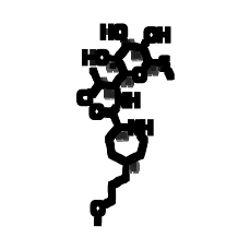 COCCC[C@@H]1CCN[C@H](C(=O)N[C@@H]([C@H]2O[C@H](SC)[C@H](O)[C@@H](O)[C@H]2O)[C@H](C)Cl)CC1